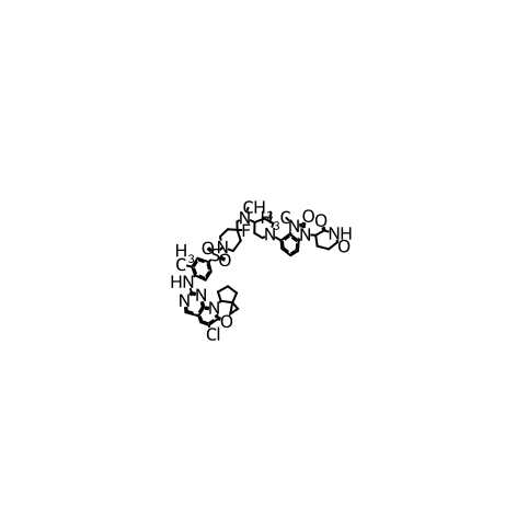 Cc1cc(S(=O)(=O)N2CCC(F)(CN(C)C3CCN(c4cccc5c4n(C)c(=O)n5C4CCC(=O)NC4=O)CC3)CC2)ccc1Nc1ncc2cc(Cl)c(=O)n(C3CCCC34CC4)c2n1